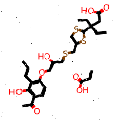 CCC(=O)O.CCCc1c(OCC(O)CSCC2CSC(C(CC)(CC)CC(=O)O)S2)ccc(C(C)=O)c1O